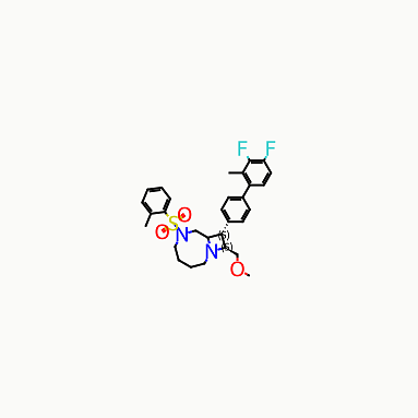 COC[C@@H]1[C@@H](c2ccc(-c3ccc(F)c(F)c3C)cc2)C2CN(S(=O)(=O)c3ccccc3C)CCCCN21